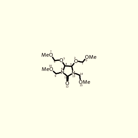 COCOC1C(OCOC)N(COC)C(=O)N1COC